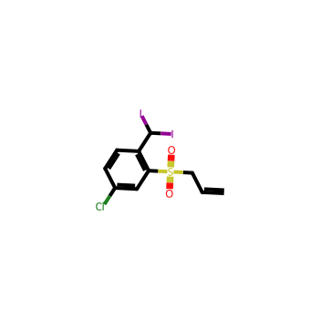 C=CCS(=O)(=O)c1cc(Cl)ccc1C(I)I